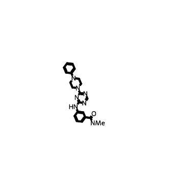 CNC(=O)c1cccc(Nc2ncnc(N3CCN(c4ccccc4)CC3)n2)c1